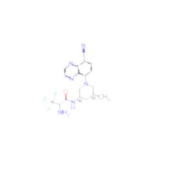 C[C@H]1C[C@@H](NC(=O)C(N)C(F)(F)F)CN(c2ccc(C#N)c3nccnc23)C1